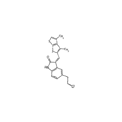 Cc1csc2sc(C=C3C(=O)Nc4ccc(CCCl)cc43)c(C)c12